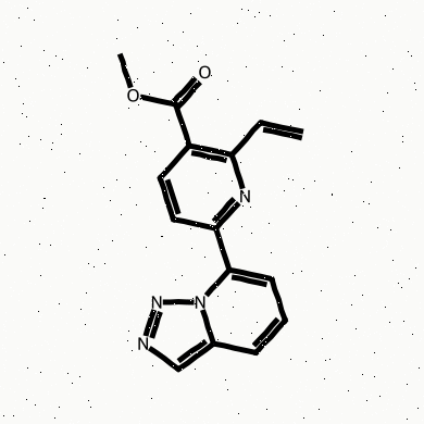 C=Cc1nc(-c2cccc3cnnn23)ccc1C(=O)OC